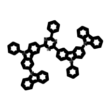 c1ccc(-c2nc(-c3ccc4c(c3)c3cc(-n5c6ccccc6c6ccccc65)ccc3n4-c3ccccc3)nc(-c3ccc4c(c3)c3cc(-n5c6ccccc6c6ccccc65)ccc3n4-c3ccccc3)n2)cc1